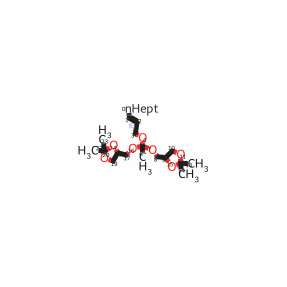 CCCCCCC/C=C/COC(C)(OCC1COC(C)(C)O1)OCC1COC(C)(C)O1